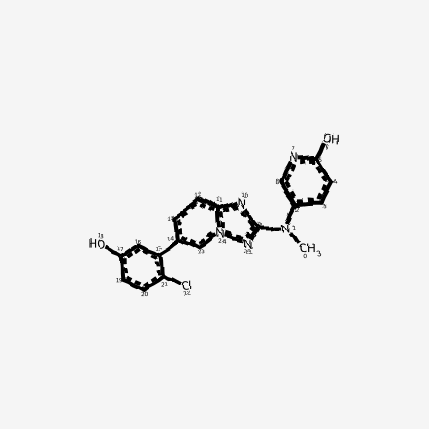 CN(c1ccc(O)nc1)c1nc2ccc(-c3cc(O)ccc3Cl)cn2n1